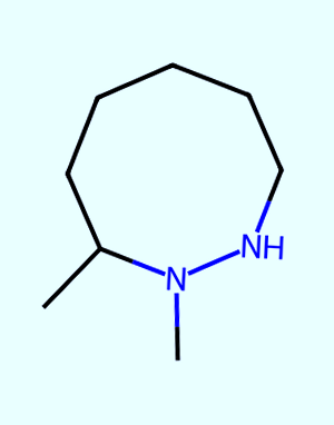 CC1CCCCCNN1C